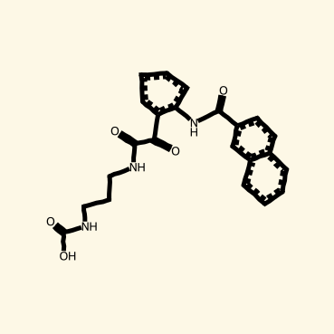 O=C(O)NCCCNC(=O)C(=O)c1ccccc1NC(=O)c1ccc2ccccc2c1